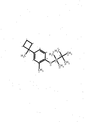 Cc1cc(C2(C)CCC2)ccc1O[Si](C)(C)C(C)(C)C